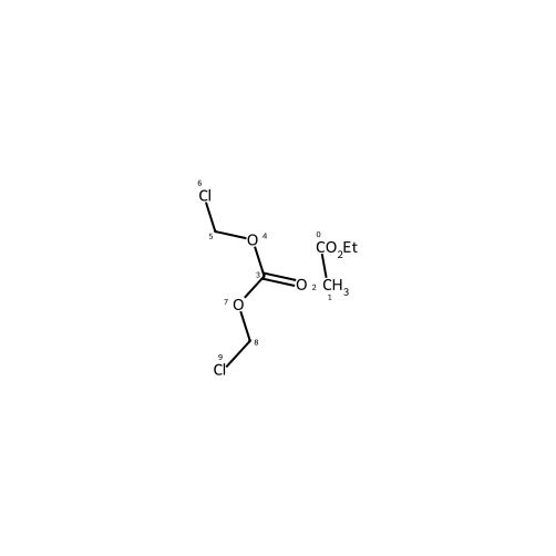 CCOC(C)=O.O=C(OCCl)OCCl